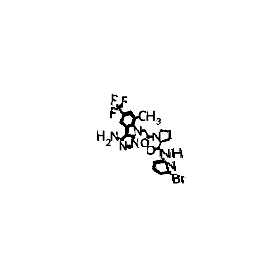 Cc1cc(C(F)(F)F)cc2c3c(N)ncnc3n(CC(=O)N3CCC[C@H]3C(=O)Nc3cccc(Br)n3)c12